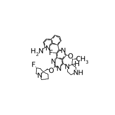 C[C@@H]1Oc2nc(-c3cccc4ccc(N)nc34)c(F)c3nc(OC[C@@]45CCCN4C[C@H](F)C5)nc(c23)N2CCNC[C@@H]12